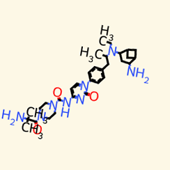 CCN(C(C)Cc1ccc(-n2ccc(NC(=O)N3CCN(C(=O)C(C)(C)N)CC3)nc2=O)cc1)C1CC(N)C2CC1C2